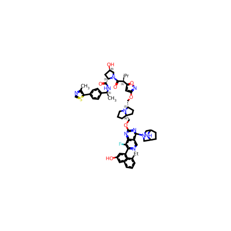 CCc1cccc2cc(O)cc(-c3ncc4c(N5CC6CCC(C5)N6)nc(OC[C@]56CCCN5[C@H](COc5cc([C@@H](C(=O)N7C[C@H](O)C[C@H]7C(=O)N[C@@H](C)c7ccc(-c8scnc8C)cc7)C(C)C)on5)CC6)nc4c3F)c12